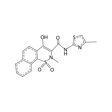 Cc1csc(NC(=O)C2=C(O)c3ccc4ccccc4c3S(=O)(=O)N2C)n1